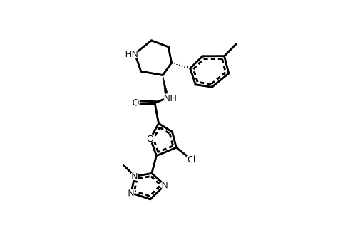 Cc1cccc([C@H]2CCNC[C@@H]2NC(=O)c2cc(Cl)c(-c3ncnn3C)o2)c1